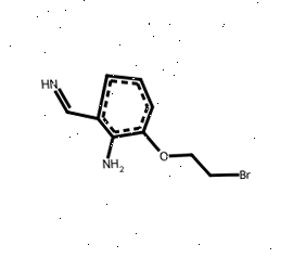 N=Cc1cccc(OCCBr)c1N